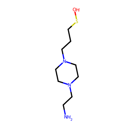 NCCN1CCN(CCCSO)CC1